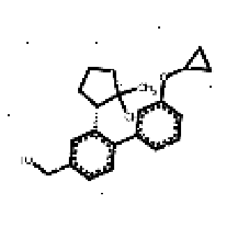 CC1(C)CCC[C@H]1c1cc(CO)ccc1-c1cccc(OC2CC2)c1